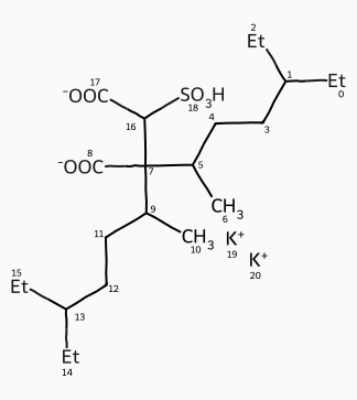 CCC(CC)CCC(C)C(C(=O)[O-])(C(C)CCC(CC)CC)C(C(=O)[O-])S(=O)(=O)O.[K+].[K+]